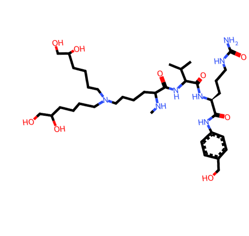 CNC(CCCCN(CCCCC(O)CO)CCCCC(O)CO)C(=O)NC(C(=O)N[C@@H](CCCNC(N)=O)C(=O)Nc1ccc(CO)cc1)C(C)C